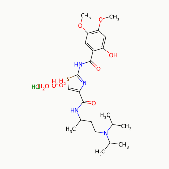 COc1cc(O)c(C(=O)Nc2nc(C(=O)NC(C)CCN(C(C)C)C(C)C)cs2)cc1OC.Cl.O.O.O